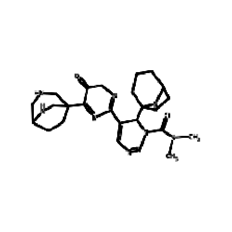 CN(C)C(=O)N1[C]=NC=C(C2=NCC(=O)C(C34CCC(CNC3)NC4)=N2)C1C12CCCC(CC1)N2